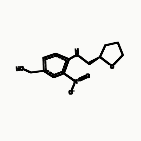 O=[N+]([O-])c1cc(CO)ccc1NC[C@H]1CCCO1